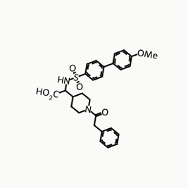 COc1ccc(-c2ccc(S(=O)(=O)NC(C(=O)O)C3CCN(C(=O)Cc4ccccc4)CC3)cc2)cc1